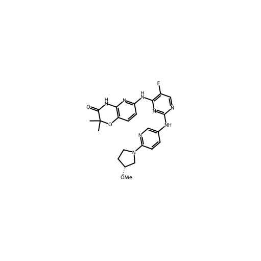 CO[C@@H]1CCN(c2ccc(Nc3ncc(F)c(Nc4ccc5c(n4)NC(=O)C(C)(C)O5)n3)cn2)C1